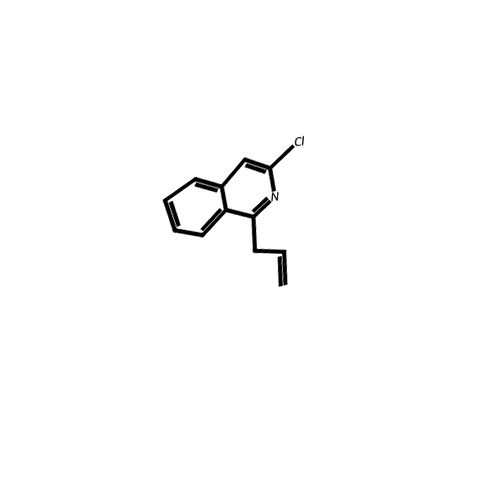 C=CCc1nc(Cl)cc2ccccc12